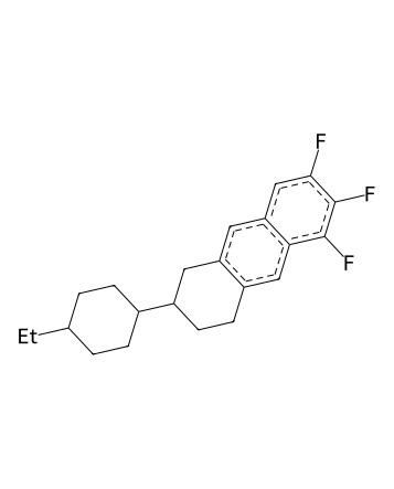 CCC1CCC(C2CCc3cc4c(F)c(F)c(F)cc4cc3C2)CC1